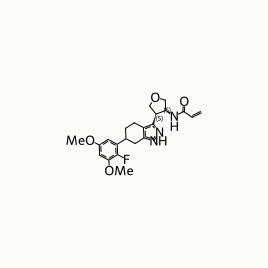 C=CC(=O)N[C@@H]1COC[C@@H]1c1n[nH]c2c1CCC(c1cc(OC)cc(OC)c1F)C2